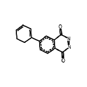 O=C1N=NC(=O)c2cc(C3=CC=CCC3)ccc21